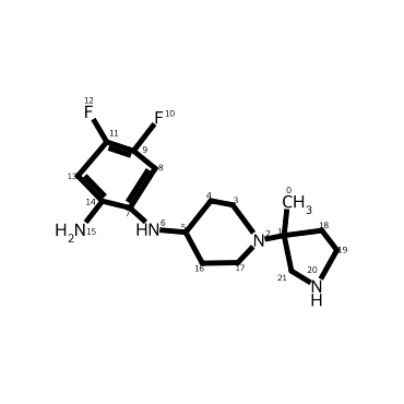 CC1(N2CCC(Nc3cc(F)c(F)cc3N)CC2)CCNC1